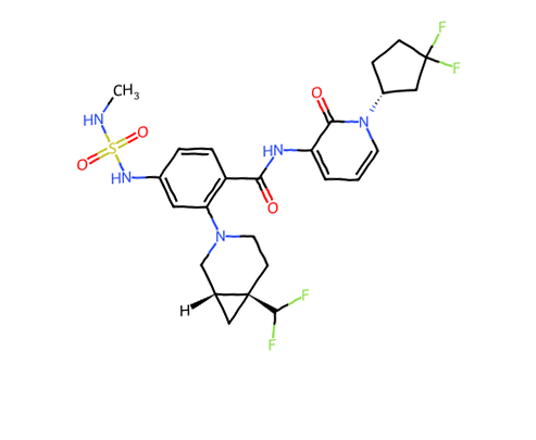 CNS(=O)(=O)Nc1ccc(C(=O)Nc2cccn([C@@H]3CCC(F)(F)C3)c2=O)c(N2CC[C@]3(C(F)F)C[C@@H]3C2)c1